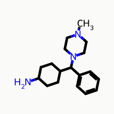 CN1CCN(C(c2ccccc2)C2CCC(N)CC2)CC1